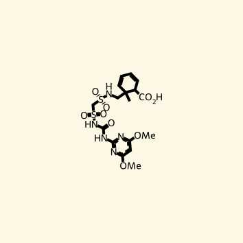 COc1cc(OC)nc(NC(=O)NS(=O)(=O)CS(=O)(=O)NCC2(C)C=CC=CC2C(=O)O)n1